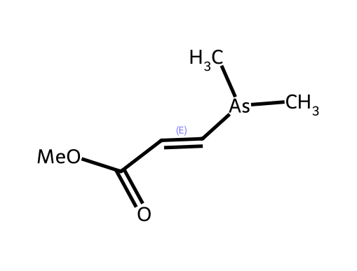 COC(=O)/C=C/[As](C)C